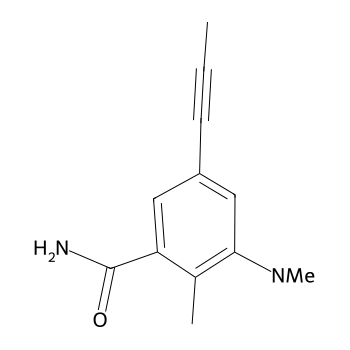 CC#Cc1cc(NC)c(C)c(C(N)=O)c1